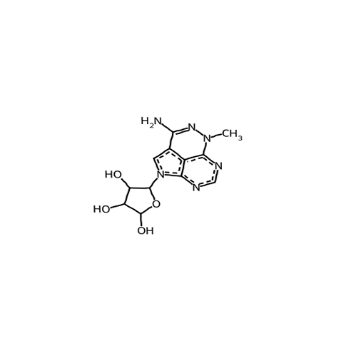 CN1N=C(N)c2cn(C3OC(O)C(O)C3O)c3ncnc1c23